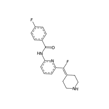 O=C(Nc1cccc(C(F)=C2CCNCC2)n1)c1ccc(F)cc1